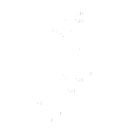 CNC(=O)C1C=C(Oc2ccc(NC(=O)Nc3ccc(Cl)c(C(F)(F)F)c3)c(F)c2)C=CN1O